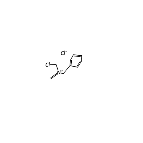 C=[N+](CCl)Cc1ccccc1.[Cl-]